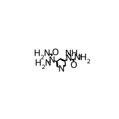 NC(=O)N(N)c1cncc(N(N)C(N)=O)c1